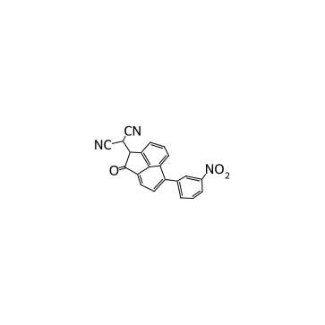 N#CC(C#N)C1C(=O)c2ccc(-c3cccc([N+](=O)[O-])c3)c3cccc1c23